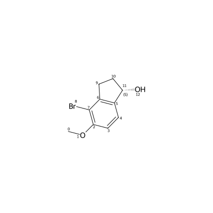 COc1ccc2c(c1Br)CC[C@@H]2O